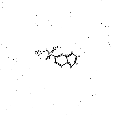 O=[N+]([O-])CS(=O)(=O)c1ccc2ccccc2c1